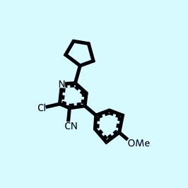 COc1ccc(-c2cc(C3CCCC3)nc(Cl)c2C#N)cc1